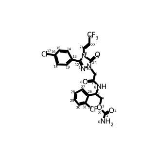 NC(=O)OCC(NC(=O)Cn1nc(-c2ccc(Cl)cc2)n(C=CC(F)(F)F)c1=O)c1ccccc1C(F)(F)F